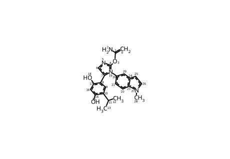 C=C(N)Oc1ncc(-c2cc(C(C)C)c(O)cc2O)n1-c1ccc2c(ccn2C)c1